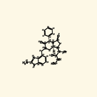 CCCCNC(=O)N(C(C)C)N1CC(=O)N2[C@@H](c3ccccc3)C(=O)N(Cc3cccc4sc(N)nc34)C[C@@H]21